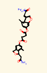 Cc1cc(OC(=O)CCC(=O)Oc2cc(C)c3c(c2)COC3CC(N)=O)cc2c1C(CC(N)=O)CO2